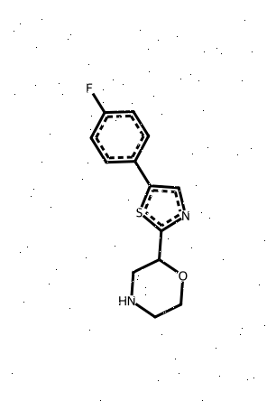 Fc1ccc(-c2cnc(C3CNCCO3)s2)cc1